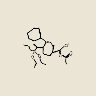 CCO[Si](OCC)(OCC)C(C)C1CCC(C(Cl)OC(C)=O)CCC1C1CCCCCC1